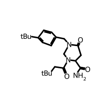 CC(C)(C)CC(=O)N1CN(Cc2ccc(C(C)(C)C)cc2)C(=O)CC1C(N)=O